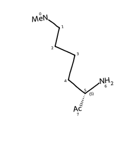 CNCCCC[C@H](N)C(C)=O